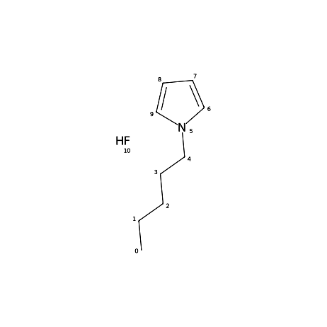 CCCCCn1cccc1.F